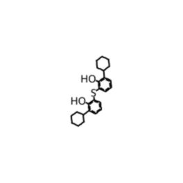 Oc1c(Sc2cccc(C3CCCCC3)c2O)cccc1C1CCCCC1